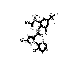 CN(C(=O)O)c1cc(C(F)(F)F)cc(Cl)c1NC(=O)c1cc(Br)nn1-c1ncccc1Cl